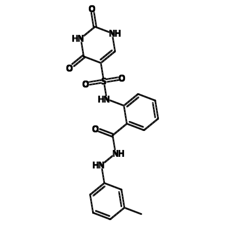 Cc1cccc(NNC(=O)c2ccccc2NS(=O)(=O)c2c[nH]c(=O)[nH]c2=O)c1